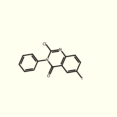 O=c1c2cc(I)ccc2nc(Cl)n1-c1ccccc1